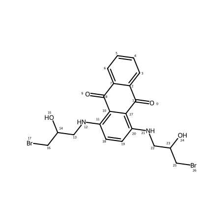 O=C1c2ccccc2C(=O)c2c(NCC(O)CBr)ccc(NCC(O)CBr)c21